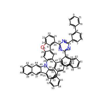 c1ccc(-c2cccc(-c3nc(-c4ccccc4)nc(-c4cccc5oc6cc(-n7c8ccccc8c8cc9ccccc9cc87)c(-c7cc(-c8ccccc8)cc(-c8ccccc8)c7)cc6c45)n3)c2)cc1